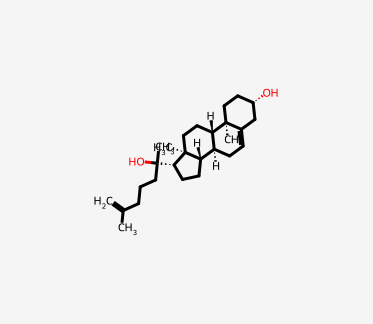 C=C(C)CCCC(C)(O)[C@H]1CC[C@H]2[C@@H]3CC=C4C[C@@H](O)CC[C@]4(C)[C@H]3CC[C@]12C